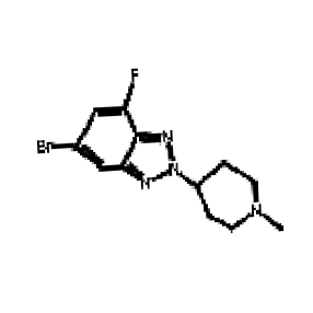 CN1CCC(n2nc3cc(Br)cc(F)c3n2)CC1